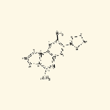 Nc1nc2c(cc1N1CCCC1)nc(N)c1cncn12